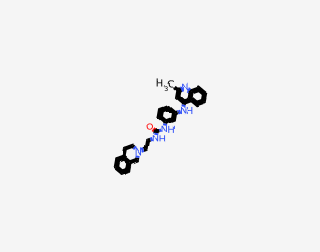 Cc1cc(Nc2cccc(NC(=O)NCCN3CCc4ccccc4C3)c2)c2ccccc2n1